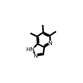 Cc1nc2cn[nH]c2c(C)c1C